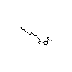 CCCCCC\C=C/C=C\C=C\C=C\C1OC1c1cccc(C(=O)OC)c1